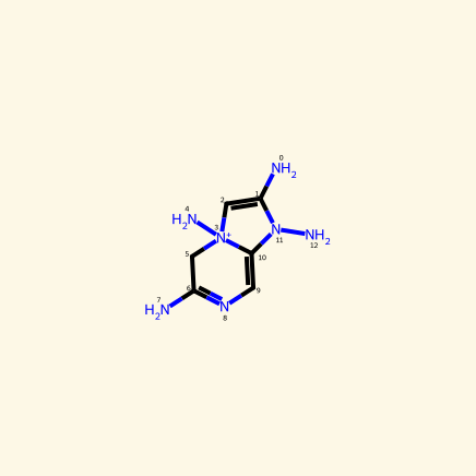 NC1=C[N+]2(N)CC(N)=NC=C2N1N